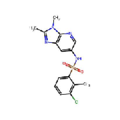 Cc1c(Cl)cccc1S(=O)(=O)Nc1cnc2c(c1)nc(C)n2C